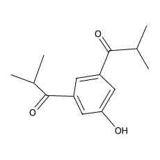 CC(C)C(=O)c1cc(O)cc(C(=O)C(C)C)c1